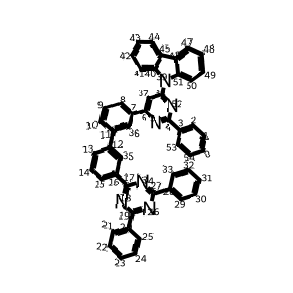 c1ccc(-c2nc(-c3cccc(-c4cccc(-c5nc(-c6ccccc6)nc(-c6ccccc6)n5)c4)c3)cc(-n3c4ccccc4c4ccccc43)n2)cc1